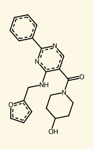 O=C(c1cnc(-c2ccccc2)nc1NCc1ccco1)N1CCC(O)CC1